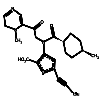 CN1CC=NC=C1C(=O)CN(c1cc(C#CC(C)(C)C)sc1C(=O)O)C(=O)[C@H]1CC[C@H](C)CC1